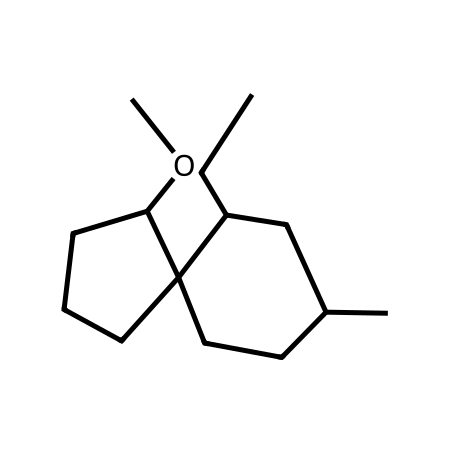 CCC1CC(C)CCC12CCCC2OC